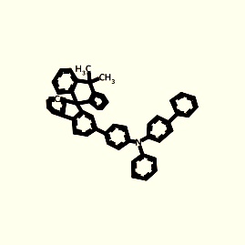 CC1(C)c2ccccc2C2(c3ccccc3-c3ccc(-c4ccc(N(c5ccccc5)c5ccc(-c6ccccc6)cc5)cc4)cc32)c2ccccc21